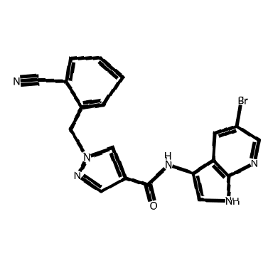 N#Cc1ccccc1Cn1cc(C(=O)Nc2c[nH]c3ncc(Br)cc23)cn1